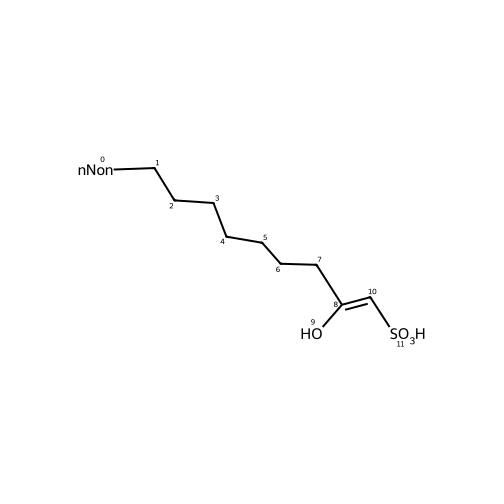 CCCCCCCCCCCCCCCCC(O)=CS(=O)(=O)O